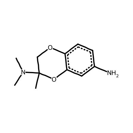 CN(C)C1(C)COc2ccc(N)cc2O1